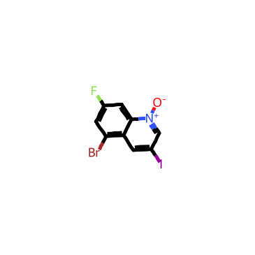 [O-][n+]1cc(I)cc2c(Br)cc(F)cc21